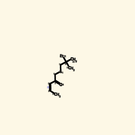 C/C=C\C(=O)CSCC(C)(C)CC